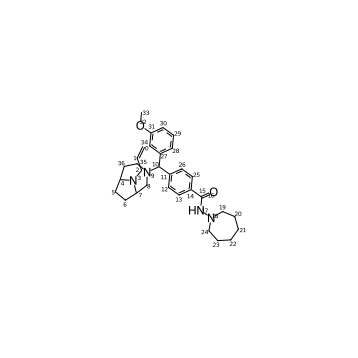 C=CCN1C2CCC1CN(C(c1ccc(C(=O)NN3CCCCCC3)cc1)c1cccc(OC)c1)CC2